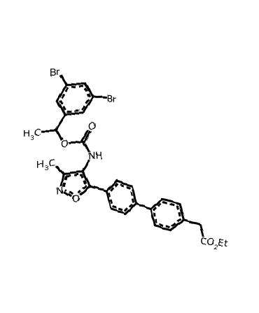 CCOC(=O)Cc1ccc(-c2ccc(-c3onc(C)c3NC(=O)OC(C)c3cc(Br)cc(Br)c3)cc2)cc1